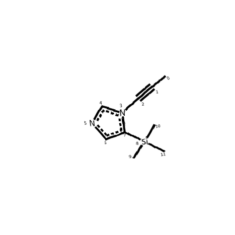 CC#Cn1cncc1[Si](C)(C)C